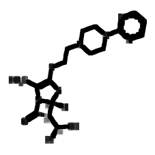 CC[C@H](O)[C@@H]1C(=O)N2C(C(=O)O)=C(SCCN3CCN(c4ncccn4)CC3)S[C@H]12